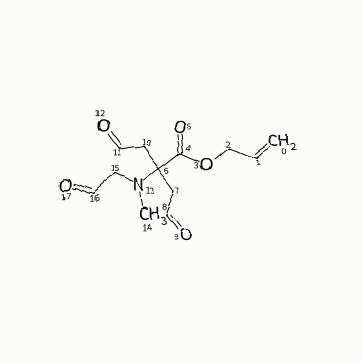 C=CCOC(=O)C(CC=O)(CC=O)N(C)CC=O